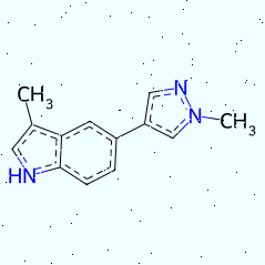 Cc1c[nH]c2ccc(-c3cnn(C)c3)cc12